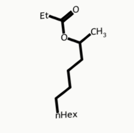 CCCCCCCCCCC(C)OC(=O)CC